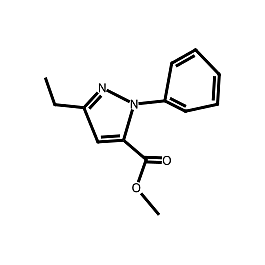 CCc1cc(C(=O)OC)n(-c2ccccc2)n1